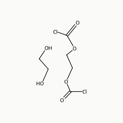 O=C(Cl)OCCOC(=O)Cl.OCCO